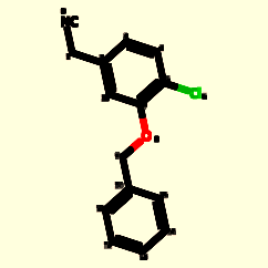 [C-]#[N+]Cc1ccc(Cl)c(OCc2ccccc2)c1